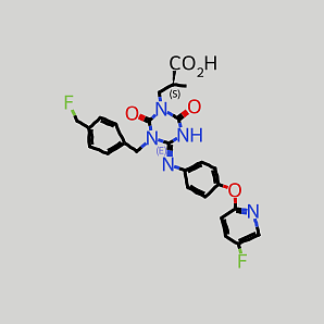 C[C@@H](Cn1c(=O)[nH]/c(=N\c2ccc(Oc3ccc(F)cn3)cc2)n(Cc2ccc(CF)cc2)c1=O)C(=O)O